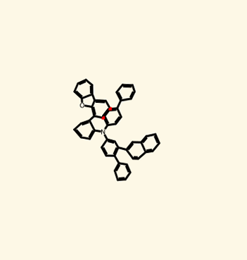 c1ccc(-c2ccc(N(c3ccc(-c4ccccc4)c(-c4ccc5ccccc5c4)c3)c3ccccc3-c3cccc4c3oc3ccccc34)cc2)cc1